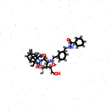 C[C@H](O)[C@@H]1[C@H](CO)ON(Cc2cccc(CNC(=O)c3ccccc3)c2)[C@@H]1C(=O)N[C@H]1C[C@H]2CC([C@@H]1C)C2(C)C